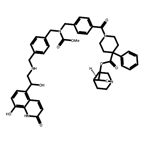 COC(=O)N(Cc1ccc(CNCC(O)c2ccc(O)c3[nH]c(=O)ccc23)cc1)Cc1ccc(C(=O)N2CCC(C(=O)O[C@H]3CN4CCC3CC4)(c3ccccc3)CC2)cc1